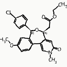 CCOC(=O)C[C@@H]1O[C@H](c2ccc(Cl)cc2)c2cc(OC)ccc2-c2cn(C)c(=O)cc21